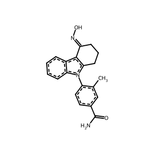 Cc1cc(C(N)=O)ccc1-n1c2c(c3ccccc31)/C(=N/O)CCC2